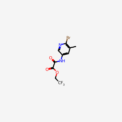 Cc1cc(NC(=O)C(=O)OCC(F)(F)F)cnc1Br